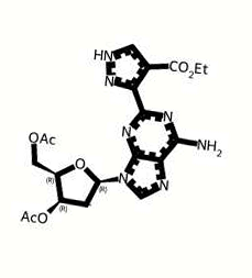 CCOC(=O)c1c[nH]nc1-c1nc(N)c2ncn([C@H]3[CH][C@@H](OC(C)=O)[C@@H](COC(C)=O)O3)c2n1